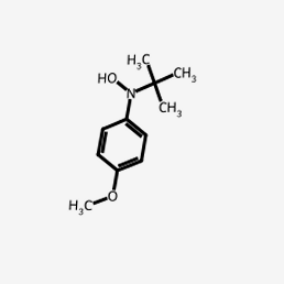 COc1ccc(N(O)C(C)(C)C)cc1